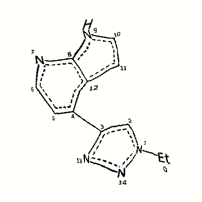 CCn1cc(-c2ccnc3[nH]ccc23)nn1